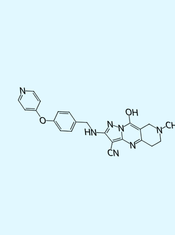 CN1CCc2nc3c(C#N)c(NCc4ccc(Oc5ccncc5)cc4)nn3c(O)c2C1